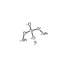 CCC[O][Ti]([Cl])([Cl])[O]CCC.[Ti]